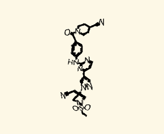 CCS(=O)(=O)N1CC(CC#N)(n2cc(-c3ccnc(Nc4ccc(C(=O)N5CCC(C#N)CC5)cc4)n3)cn2)C1